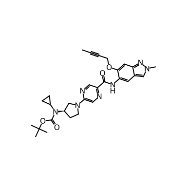 CC#CCOc1cc2nn(C)cc2cc1NC(=O)c1cnc(N2CC[C@@H](N(C(=O)OC(C)(C)C)C3CC3)C2)cn1